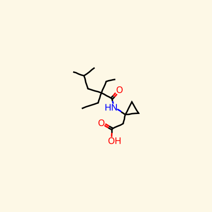 CCC(CC)(CC(C)C)C(=O)NC1(CC(=O)O)CC1